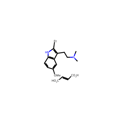 CCc1[nH]c2ccc(OC)cc2c1CCN(C)C.O=C(O)C=CC(=O)O